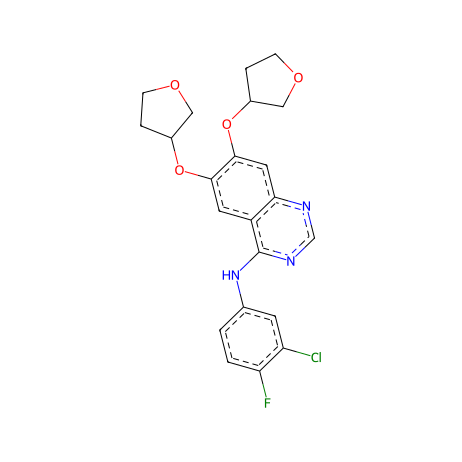 Fc1ccc(Nc2ncnc3cc(OC4CCOC4)c(OC4CCOC4)cc23)cc1Cl